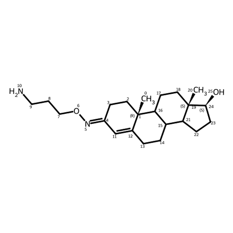 C[C@]12CCC(=NOCCCN)C=C1CCC1C2CC[C@@]2(C)C1CC[C@@H]2O